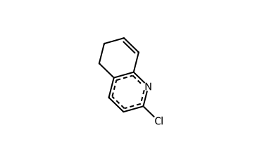 Clc1ccc2c(n1)C=CCC2